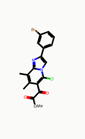 COC(=O)C(=O)c1c(C)c(C)c2nc(-c3cccc(Br)c3)cn2c1Cl